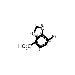 O=C(O)c1ccc(F)c2c1OCO2